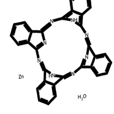 O.[Zn].c1ccc2c(c1)-c1nc-2nc2[nH]c(nc3nc(nc4[nH]c(n1)c1ccccc41)-c1ccccc1-3)c1ccccc21